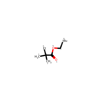 CCC(C)(C)C(=O)OCC(C)(C)C